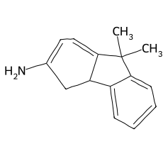 CC1(C)C2=CC=C(N)CC2c2ccccc21